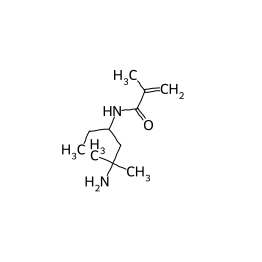 C=C(C)C(=O)NC(CC)CC(C)(C)N